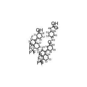 Cc1cnc2c(C(F)(F)F)cccc2c1-c1cccc(O)c1.Cc1cnc2c(C(F)(F)F)cccc2c1-c1cccc(OCc2ccc(CC(=O)O)cc2)c1